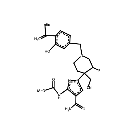 C=C(CCCC)c1ccc(CN2CCC(CC#N)(n3cc(C(N)=O)c(NC(=O)OC)n3)C(F)C2)cc1O